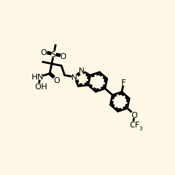 CC(CCn1cc2cc(-c3ccc(OC(F)(F)F)cc3F)ccc2n1)(C(=O)NO)S(C)(=O)=O